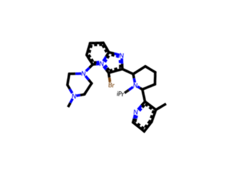 Cc1cccnc1C1CCCC(c2nc3cccc(N4CCN(C)CC4)n3c2Br)N1C(C)C